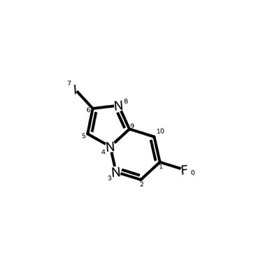 Fc1cnn2cc(I)nc2c1